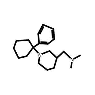 CN(C)CC1CCCN(C2(c3ccccc3)CCCCC2)C1